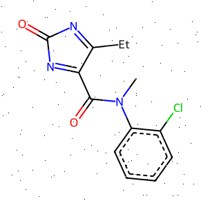 CCC1=NC(=O)N=C1C(=O)N(C)c1ccccc1Cl